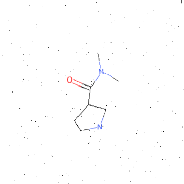 CN(C)C(=O)C1CC[N]C1